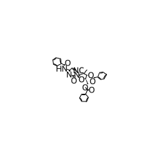 C[C@]1(C#N)C(n2ccc(NC(=O)c3ccccc3)nc2=O)O[C@H](COC(=O)c2ccccc2)[C@H]1OC(=O)c1ccccc1